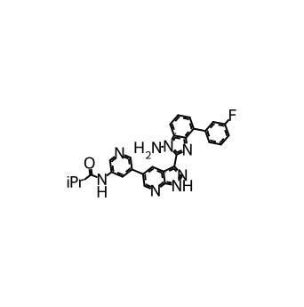 CC(C)C(=O)Nc1cncc(-c2cnc3[nH]nc(-c4nc5c(-c6cccc(F)c6)cccc5n4N)c3c2)c1